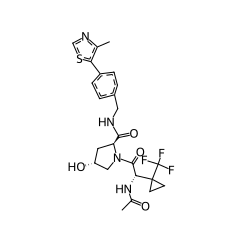 CC(=O)N[C@H](C(=O)N1C[C@H](O)C[C@H]1C(=O)NCc1ccc(-c2scnc2C)cc1)C1(C(F)(F)F)CC1